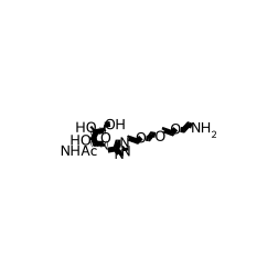 CC(=O)N[C@@H]1[C@@H](O)[C@@H](O)[C@@H](CO)O[C@@H]1Cc1cn(CCOCCOCCOCCN)nn1